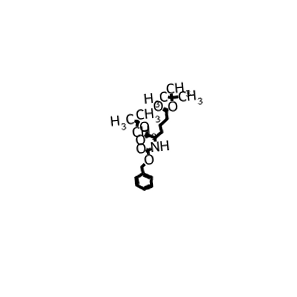 CC(C)(C)OC(=O)CCCC(NC(=O)OCc1ccccc1)C(=O)OC(C)(C)C